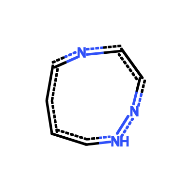 c1cc[nH]nccnc1